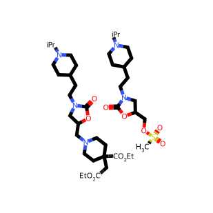 CC(C)N1CCC(CCN2CC(COS(C)(=O)=O)OC2=O)CC1.CCOC(=O)CC1(C(=O)OCC)CCN(CC2CN(CCC3CCN(C(C)C)CC3)C(=O)O2)CC1